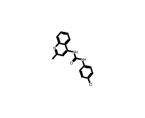 Cc1cc(NC(=O)Nc2ccc(Cl)cc2)c2ccccc2n1